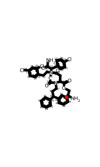 NC(=O)COC(=O)C1CC(=O)[N+](CCc2ccc(Cl)cc2Cl)(C(C(N)=O)c2ccc(Cl)cc2)CC(=O)N1CCC(c1ccccc1)c1ccccc1